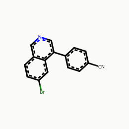 N#Cc1ccc(-c2cncc3ccc(Br)cc23)cc1